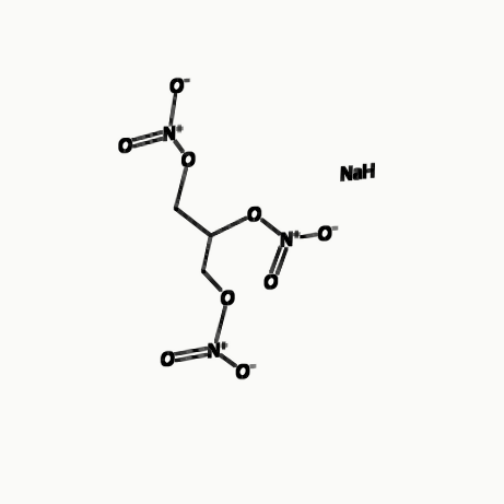 O=[N+]([O-])OCC(CO[N+](=O)[O-])O[N+](=O)[O-].[NaH]